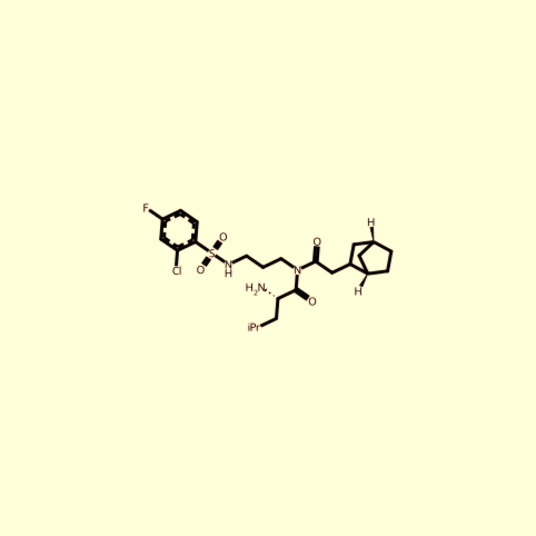 CC(C)C[C@H](N)C(=O)N(CCCNS(=O)(=O)c1ccc(F)cc1Cl)C(=O)CC1C[C@@H]2CC[C@H]1C2